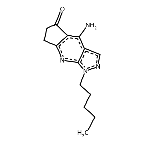 CCCCCn1ncc2c(N)c3c(nc21)CCC3=O